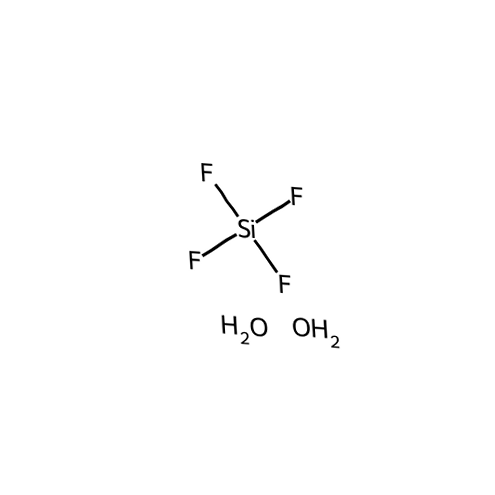 F[Si](F)(F)F.O.O